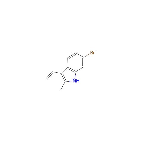 C=Cc1c(C)[nH]c2cc(Br)ccc12